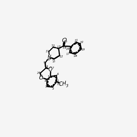 Cc1ccc2c(c1)OC(CN1CCC(C(=O)c3ccccc3)CC1)CO2